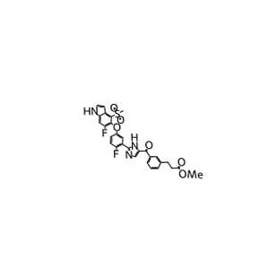 COC(=O)CCc1cccc(C(=O)c2cnc(-c3cc(Oc4c(F)cc5[nH]ccc5c4S(C)(=O)=O)ccc3F)[nH]2)c1